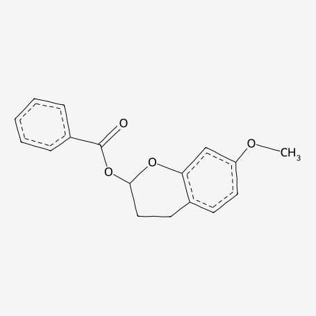 COc1ccc2c(c1)OC(OC(=O)c1ccccc1)CC2